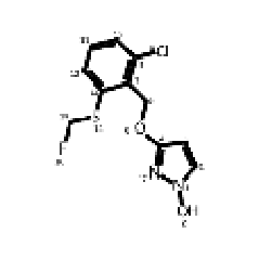 On1ccc(OCc2c(Cl)cccc2SCF)n1